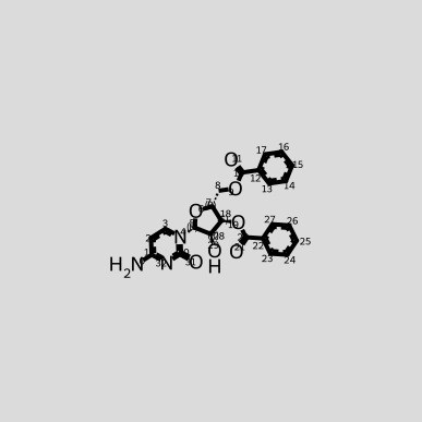 Nc1ccn([C@@H]2O[C@H](COC(=O)c3ccccc3)[C@@H](OC(=O)c3ccccc3)[C@H]2O)c(=O)n1